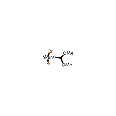 [Br][Mg][Br].[CH2]CCCCC(OC)OC